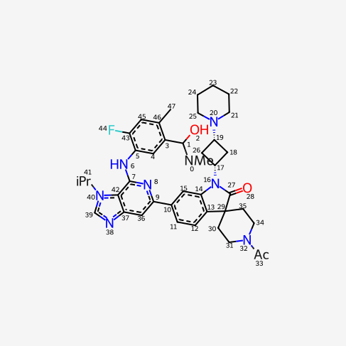 CNC(O)c1cc(Nc2nc(-c3ccc4c(c3)N([C@H]3C[C@@H](N5CCCCC5)C3)C(=O)C43CCN(C(C)=O)CC3)cc3ncn(C(C)C)c23)c(F)cc1C